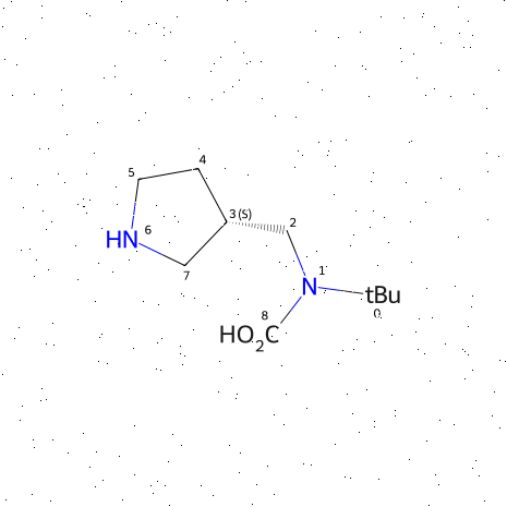 CC(C)(C)N(C[C@H]1CCNC1)C(=O)O